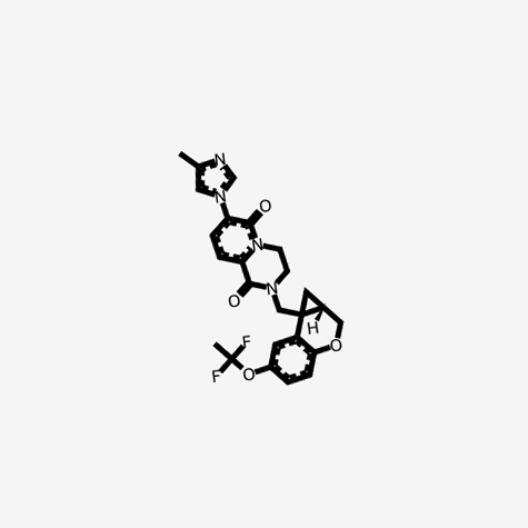 Cc1cn(-c2ccc3n(c2=O)CCN(CC24C[C@@H]2COc2ccc(OC(C)(F)F)cc24)C3=O)cn1